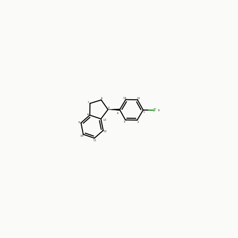 Fc1ccc([C@@H]2CCc3ccccc32)cc1